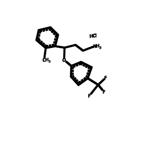 Cc1ccccc1C(CCN)Oc1ccc(C(F)(F)F)cc1.Cl